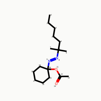 CCCCCC(C)(C)N=NC1(OC(C)=O)CCCCC1